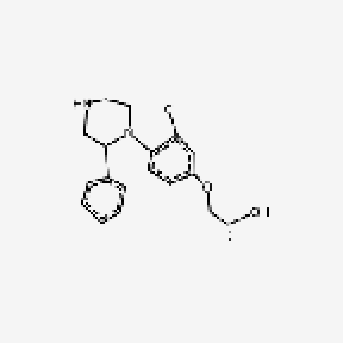 C[C@@H](O)COc1ccc(N2CCNCC2c2ccccc2)c(Cl)c1